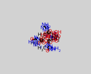 CO[C@@H]1[C@H](O)[C@@H](COP(=O)(O)O[C@H]2[C@@H](OC)[C@H](n3cnc4c(N)ncnc43)O[C@@H]2COP(=O)(O)OP(=O)(O)OP(=O)(O)OC[C@H]2O[C@@H](n3c[n+](C)c4c(=O)[nH]c(N)nc43)[C@H](O)[C@@H]2CC(=O)N(C)C)O[C@H]1n1cnc2c(=O)[nH]c(N)nc21